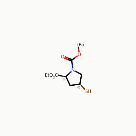 CCOC(=O)[C@@H]1C[C@H](S)CN1C(=O)OC(C)(C)C